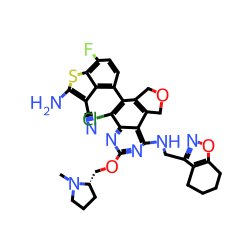 CN1CCC[C@H]1COc1nc(NCc2noc3c2CCCC3)c2c3c(c(-c4ccc(F)c5sc(N)c(C#N)c45)c(Cl)c2n1)COC3